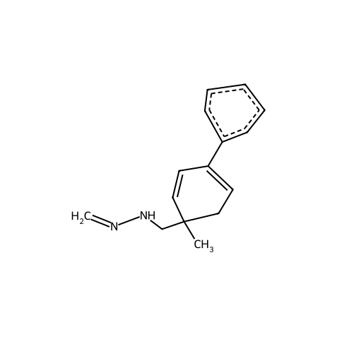 C=NNCC1(C)C=CC(c2ccccc2)=CC1